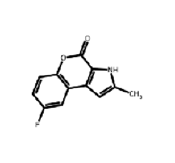 Cc1cc2c([nH]1)c(=O)oc1ccc(F)cc12